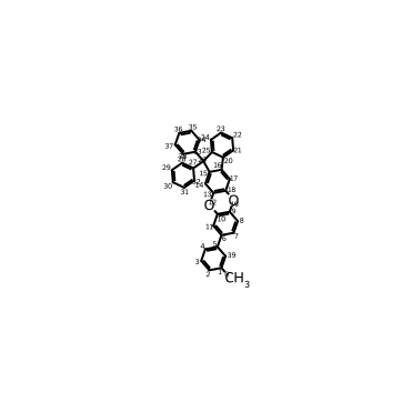 Cc1cccc(-c2ccc3c(c2)Oc2cc4c(cc2O3)-c2ccccc2C4(c2ccccc2)c2ccccc2)c1